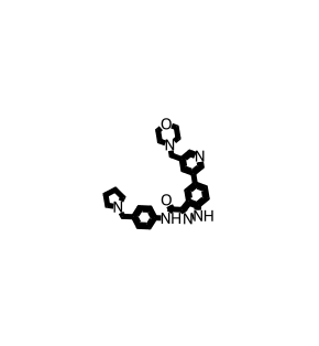 O=C(Nc1ccc(CN2CCCC2)cc1)c1n[nH]c2ccc(-c3cncc(CN4CCOCC4)c3)cc12